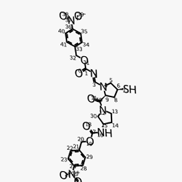 O=C(N=CN1C[C@@H](S)C[C@H]1C(=O)N1CC[C@H](NC(=O)OCc2ccc([N+](=O)[O-])cc2)C1)OCc1ccc([N+](=O)[O-])cc1